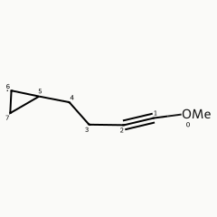 COC#CCCC1[CH]C1